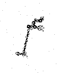 CCN(CC)c1ccc(NC(=O)c2ccccc2COCCOCCOCCOCCOCCOCCOC(=O)N(C)CCN2CCOCC2)c(-c2cc(C(=O)NCc3cccc(C(F)(F)F)c3)ccn2)c1